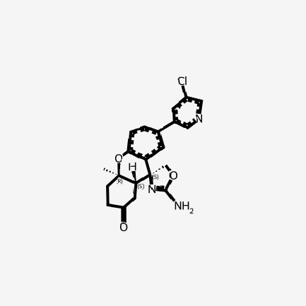 C[C@@]12CCC(=O)C[C@H]1[C@@]1(COC(N)=N1)c1cc(-c3cncc(Cl)c3)ccc1O2